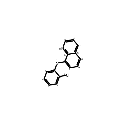 Clc1ccccc1Sc1cccc2cccnc12